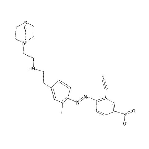 Cc1cc(CCNCC[N+]23CCN(CC2)CC3)ccc1N=Nc1ccc([N+](=O)[O-])cc1C#N